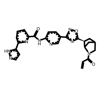 C=CC(=O)N1CC2CC1[C@@H](c1nc(-c3ccc(NC(=O)c4cccc(-c5ccn[nH]5)n4)nc3)no1)C2